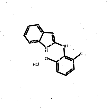 Cl.FC(F)(F)c1cccc(Cl)c1Nc1nc2ccccc2[nH]1